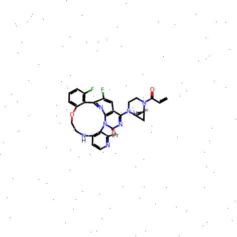 C=CC(=O)N1CCN(c2nc(=O)n3c4nc(c(F)cc24)-c2c(F)cccc2OCCNc2ccnc(C(C)C)c2-3)C2C[C@H]21